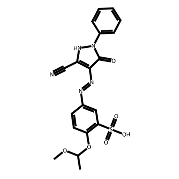 COC(C)Oc1ccc(N=Nc2c(C#N)[nH]n(-c3ccccc3)c2=O)cc1S(=O)(=O)O